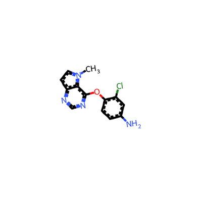 Cn1ccc2ncnc(Oc3ccc(N)cc3Cl)c21